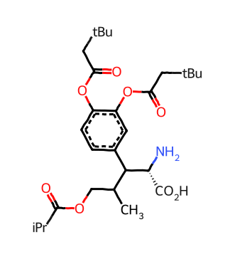 CC(C)C(=O)OCC(C)C(c1ccc(OC(=O)CC(C)(C)C)c(OC(=O)CC(C)(C)C)c1)[C@H](N)C(=O)O